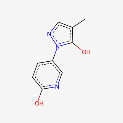 Cc1cnn(-c2ccc(O)nc2)c1O